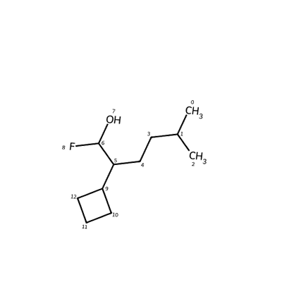 CC(C)CCC(C(O)F)C1CCC1